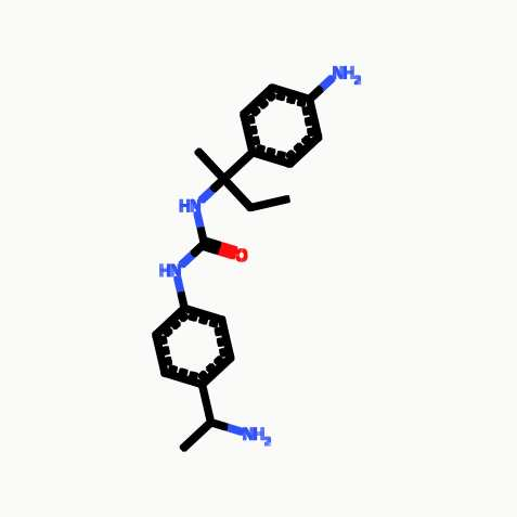 CCC(C)(NC(=O)Nc1ccc(C(C)N)cc1)c1ccc(N)cc1